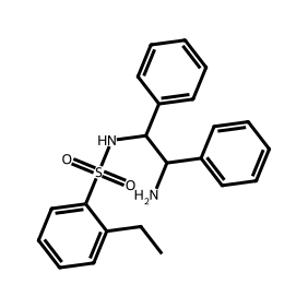 CCc1ccccc1S(=O)(=O)NC(c1ccccc1)C(N)c1ccccc1